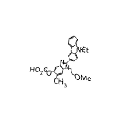 CCn1c2ccccc2c2cc(-c3nc4cc(OC(=O)O)c(C)cc4n3CCOC)ccc21